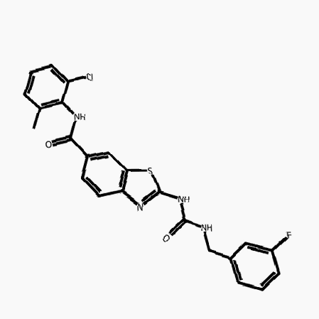 Cc1cccc(Cl)c1NC(=O)c1ccc2nc(NC(=O)NCc3cccc(F)c3)sc2c1